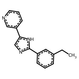 CCc1cccc(-c2ncc(-c3cccnc3)[nH]2)c1